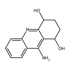 Nc1c2c(nc3ccccc13)C(O)CCC2O